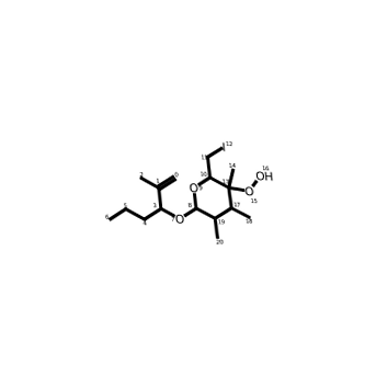 C=C(C)C(CCC)OC1OC(CI)C(C)(OO)C(C)C1C